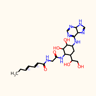 CC/C=C/C=C/C(=O)NCC(=O)NC1C(O)C(O)C(NC2=NC=NC3NC=NC23)CC1C(O)CO